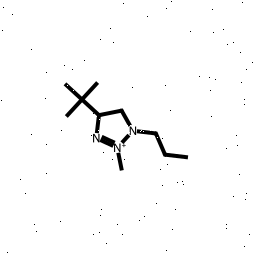 CCCN1CC(C(C)(C)C)N=[N+]1C